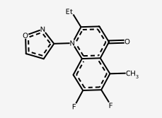 CCc1cc(=O)c2c(C)c(F)c(F)cc2n1-c1ccon1